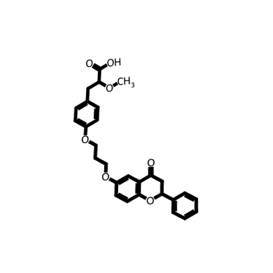 COC(Cc1ccc(OCCCOc2ccc3c(c2)C(=O)CC(c2ccccc2)O3)cc1)C(=O)O